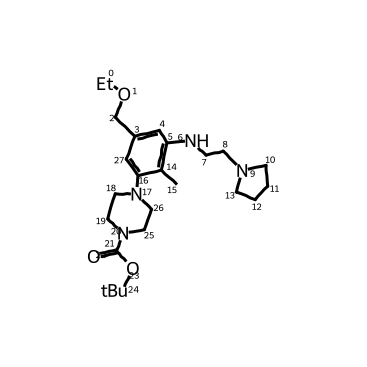 CCOCc1cc(NCCN2CCCC2)c(C)c(N2CCN(C(=O)OC(C)(C)C)CC2)c1